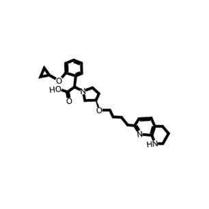 O=C(O)C(c1ccccc1OC1CC1)N1CC[C@@H](OCCCCc2ccc3c(n2)NCCC3)C1